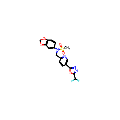 CS(=O)(=O)N(Cc1ccc(-c2nnc(C(F)F)o2)cn1)c1ccc2c(c1)OCO2